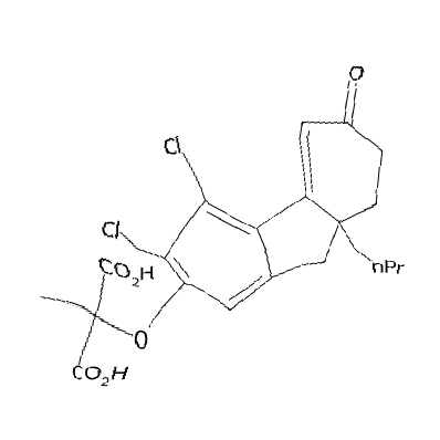 CCCC12CCC(=O)C=C1c1c(cc(OC(C)(C(=O)O)C(=O)O)c(Cl)c1Cl)C2